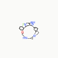 Fc1cccc2c1-c1cc3c(n[nH]c3cn1)-c1ccc3c(c1)CN(CC3)C1CC1CNCCO2